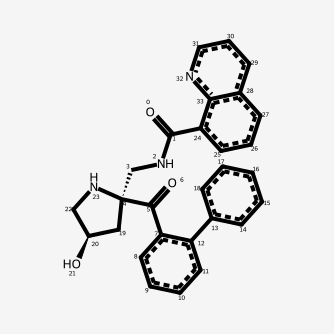 O=C(NC[C@]1(C(=O)c2ccccc2-c2ccccc2)C[C@@H](O)CN1)c1cccc2cccnc12